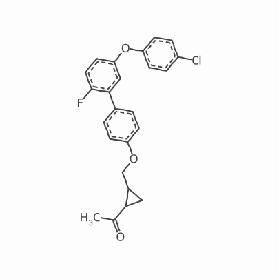 CC(=O)C1CC1COc1ccc(-c2cc(Oc3ccc(Cl)cc3)ccc2F)cc1